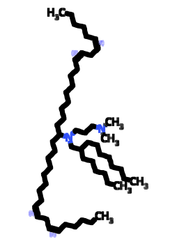 CCCCC/C=C\C/C=C\CCCCCCCCC(CCCCCCCC/C=C\C/C=C\CCCCC)N(CCCN(C)C)CC(CCCCCC)CCCCCCCC